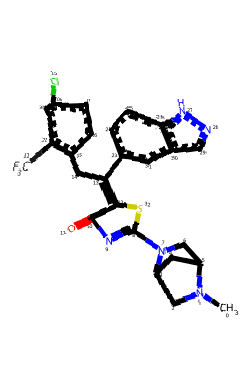 CN1CC2CC1CN2C1=NC(=O)C(=C(Cc2ccc(Cl)cc2C(F)(F)F)c2ccc3[nH]ncc3c2)S1